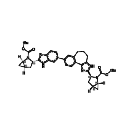 CC(C)(C)OC(=O)N1[C@@H]2C[C@@H]2C[C@H]1c1nc2c([nH]1)CCCc1cc(-c3ccc4nc([C@@H]5C[C@H]6C[C@H]6N5C(=O)OC(C)(C)C)[nH]c4c3)ccc1-2